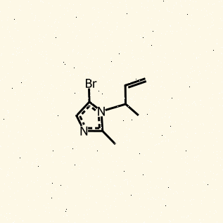 C=CC(C)n1c(Br)cnc1C